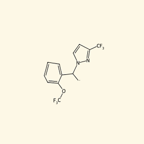 [CH2]C(c1ccccc1OC(F)(F)F)n1ccc(C(F)(F)F)n1